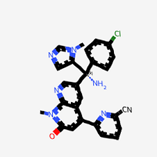 Cn1cncc1[C@@](N)(c1ccc(Cl)cc1)c1cnc2c(c1)c(-c1cccc(C#N)n1)cc(=O)n2C